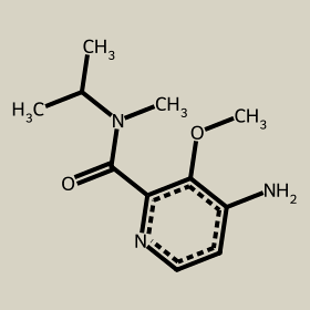 COc1c(N)ccnc1C(=O)N(C)C(C)C